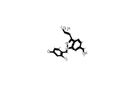 O=C(O)/C=C/c1nn(Cc2ccc(Cl)cc2Cl)c2cc(CO)ccc12